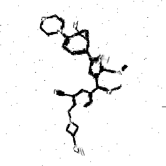 C=Nc1[nH]c(C2=CC=C(N3CCOCC3)[C@@H]3C=C23)cc1C(=N\C)/C(/C=C(/C#N)CCN1CC(O)C1)=C/C